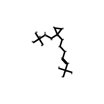 CC(C)(C)/C=C/CCCC1(COC(C)(C)C)CC1